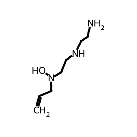 C=CCN(O)CCNCCN